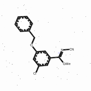 CO/C(=N\C#N)c1cc(Cl)cc(OCc2ccccc2)c1